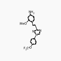 COc1cc(N)ccc1/C=C/c1ncn(-c2ccc(OC(F)(F)F)cc2)n1